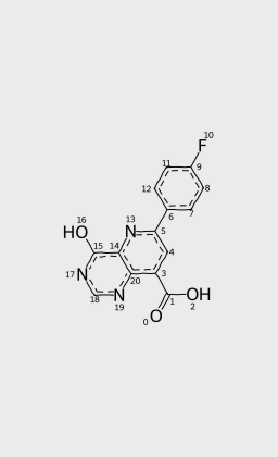 O=C(O)c1cc(-c2ccc(F)cc2)nc2c(O)ncnc12